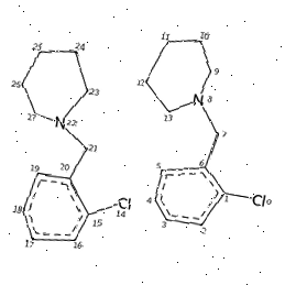 Clc1ccccc1CN1CCCCC1.Clc1ccccc1CN1CCCCC1